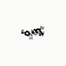 CN(C)[C@H]1CC[C@H](Nc2ncc3cc(Br)c4nncn4c3n2)CC1